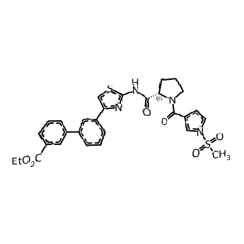 CCOC(=O)c1cccc(-c2cccc(-c3csc(NC(=O)[C@@H]4CCCN4C(=O)c4ccn(S(C)(=O)=O)c4)n3)c2)c1